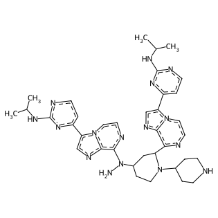 CC(C)Nc1nccc(-c2cnc3c(C4CC(N(N)c5nccn6c(-c7ccnc(NC(C)C)n7)cnc56)CCN4C4CCNCC4)nccn23)n1